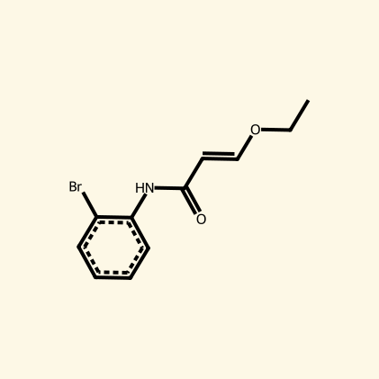 CCO/C=C/C(=O)Nc1ccccc1Br